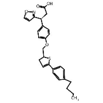 CCCCc1ccc(C2=CCC(COc3ccc([C@H](CC(=O)O)c4ccon4)cc3)S2)cc1